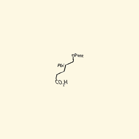 CCCCCCCCCC(=O)O.[Pb]